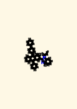 C/C=C(\C(C)CCC)N1C(c2ccc3c(-c4ccc(-c5ccccc5)cc4)c4ccccc4c(-c4ccccc4)c3c2)=NC2(C)C=CC=CC12